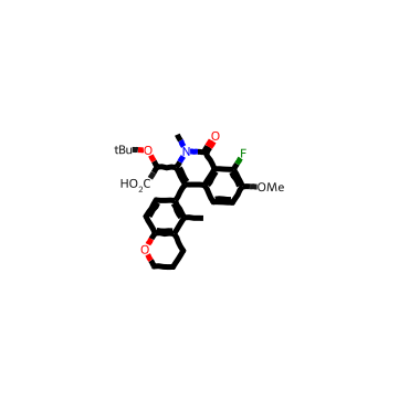 COc1ccc2c(-c3ccc4c(c3C)CCCO4)c(C(OC(C)(C)C)C(=O)O)n(C)c(=O)c2c1F